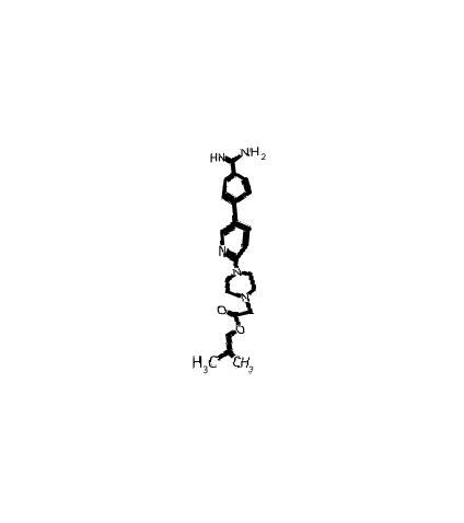 CC(C)COC(=O)CN1CCN(c2ccc(-c3ccc(C(=N)N)cc3)cn2)CC1